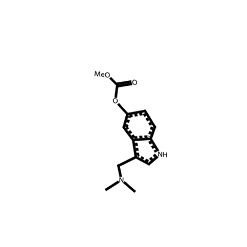 COC(=O)Oc1ccc2[nH]cc(CN(C)C)c2c1